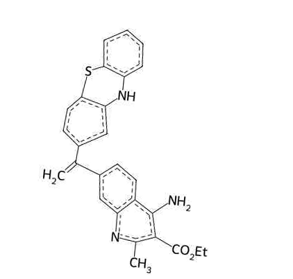 C=C(c1ccc2c(c1)Nc1ccccc1S2)c1ccc2c(N)c(C(=O)OCC)c(C)nc2c1